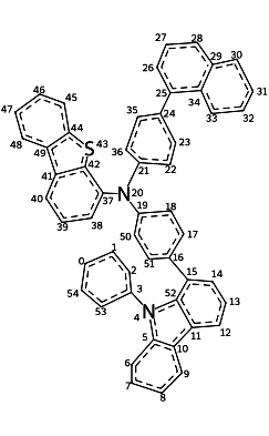 c1ccc(-n2c3ccccc3c3cccc(-c4ccc(N(c5ccc(-c6cccc7ccccc67)cc5)c5cccc6c5sc5ccccc56)cc4)c32)cc1